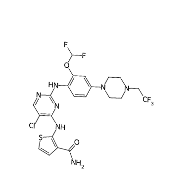 NC(=O)c1ccsc1Nc1nc(Nc2ccc(N3CCN(CC(F)(F)F)CC3)cc2OC(F)F)ncc1Cl